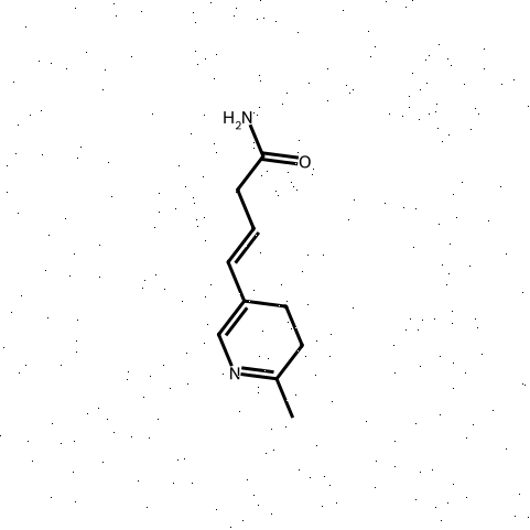 CC1=NC=C(/C=C/CC(N)=O)CC1